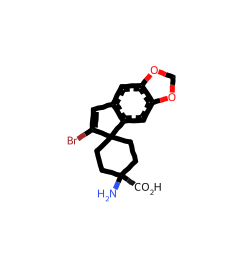 NC1(C(=O)O)CCC2(CC1)C(Br)=Cc1cc3c(cc12)OCO3